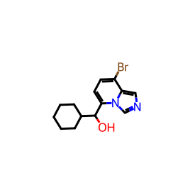 OC(c1ccc(Br)c2cncn12)C1CCCCC1